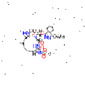 COc1nnc(O[C@@H]2C[C@H]3C(=O)N[C@]4(C(=O)NS(=O)(=O)C5CC5)C[C@H]4C=CCC[C@@H](C)C[C@@H](C)[C@H](NC(=O)O)C(=O)N3C2)c2ccccc12